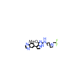 COc1nc(N[C@H]2C[C@]3(CCN3CC(F)F)C2)nn2ccc(-c3ccc4nccnc4c3)c12